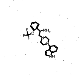 NC(CN1CCN(c2cccc3[nH]ccc23)CC1)c1ccccc1OC(F)(F)F